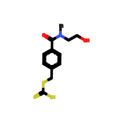 CCN(CCO)C(=O)c1ccc(CSC(=S)S)cc1